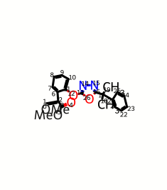 CO/C=C(\C(=O)OC)c1ccccc1Oc1nnc(C(C)(C)c2ccccc2)o1